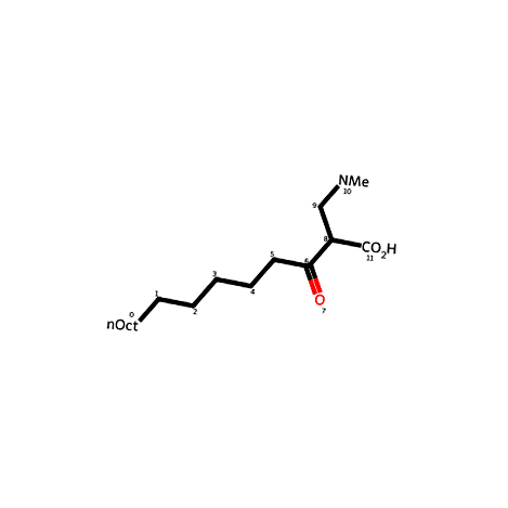 CCCCCCCCCCCCCC(=O)C(CNC)C(=O)O